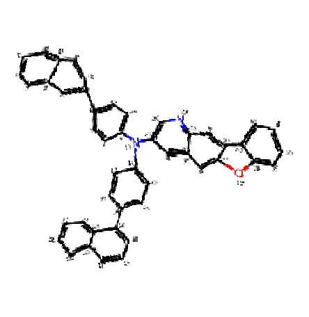 c1ccc2cc(-c3ccc(N(c4ccc(-c5cccc6ccccc56)cc4)c4cnc5cc6c(cc5c4)oc4ccccc46)cc3)ccc2c1